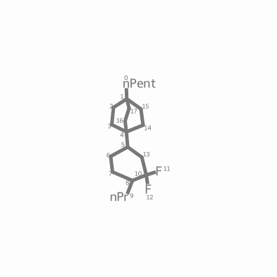 CCCCCC12CCC(C3CCC(CCC)C(F)(F)C3)(CC1)CC2